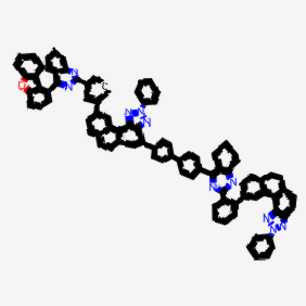 c1ccc(-n2nc3ccc4ccc5ccc(-c6ccccc6-c6nc(-c7ccc(-c8ccc(-c9cc%10ccc%11ccc(-c%12cccc(-c%13nc(-c%14cccc%15oc%16ccccc%16c%14%15)c%14ccccc%14n%13)c%12)cc%11c%10c%10nn(-c%11ccccc%11)nc9%10)cc8)cc7)c7ccccc7n6)cc5c4c3n2)cc1